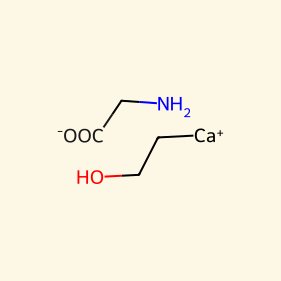 NCC(=O)[O-].OC[CH2][Ca+]